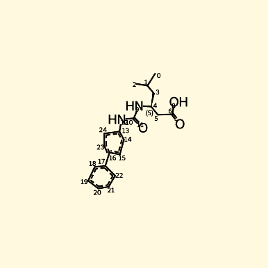 CC(C)C[C@@H](CC(=O)O)NC(=O)Nc1ccc(-c2ccccc2)cc1